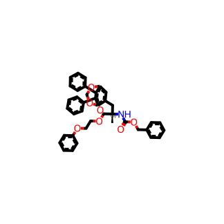 C[C@@](Cc1cc2c(-c3ccccc3)c(-c3ccccc3)c1OCO2)(NC(=O)OCc1ccccc1)C(=O)OCCOc1ccccc1